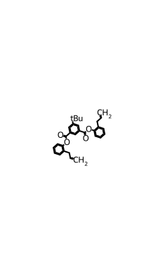 C=CCc1ccccc1OC(=O)c1cc(C(=O)Oc2ccccc2CC=C)cc(C(C)(C)C)c1